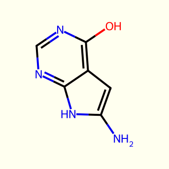 Nc1cc2c(O)ncnc2[nH]1